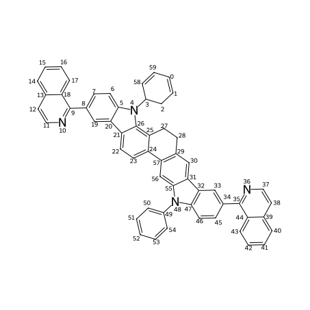 C1=CCC(n2c3ccc(-c4nccc5ccccc45)cc3c3ccc4c(c32)CCc2cc3c5cc(-c6nccc7ccccc67)ccc5n(-c5ccccc5)c3cc2-4)C=C1